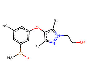 CCc1nn(CCO)c(CC)c1Oc1cc(C#N)cc([S+](C)[O-])c1